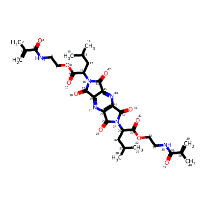 C=C(C)C(=O)NCCOC(=O)C(CC(C)C)n1c(=O)c2nc3c(=O)n(C(CC(C)C)C(=O)OCCNC(=O)C(=C)C)c(=O)c3nc2c1=O